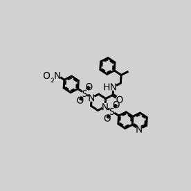 CC(CNC(=O)C1CN(S(=O)(=O)c2ccc([N+](=O)[O-])cc2)CCN1S(=O)(=O)c1ccc2ncccc2c1)c1ccccc1